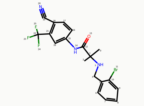 CC(C)(NCc1ccccc1Br)C(=O)Nc1ccc(C#N)c(C(F)(F)F)c1